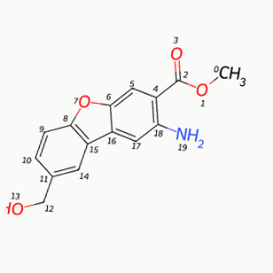 COC(=O)c1cc2oc3ccc(CO)cc3c2cc1N